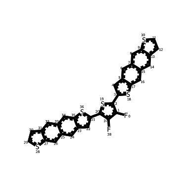 Fc1c(-c2cc3cc4cc5sccc5cc4cc3s2)sc(-c2cc3cc4cc5sccc5cc4cc3s2)c1F